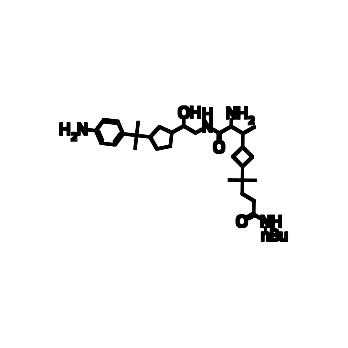 CCCCNC(=O)CCC(C)(C)C1CC(C(C)C(N)C(=O)NCC(O)C2CCC(C(C)(C)c3ccc(N)cc3)C2)C1